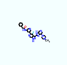 CN1CCN(c2cncc3[nH]c(-c4n[nH]c5cnc(-c6cncc(NC(=O)Cc7ccccc7)c6)c(F)c45)nc23)CC1